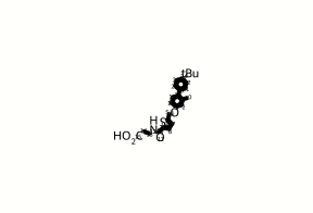 Cc1cc(OCc2ccc(C(=O)NCCC(=O)O)s2)ccc1-c1ccc(C(C)(C)C)cc1